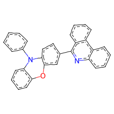 c1ccc(N2c3ccccc3Oc3cc(-c4nc5ccccc5c5ccccc45)ccc32)cc1